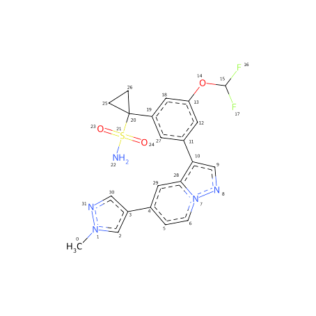 Cn1cc(-c2ccn3ncc(-c4cc(OC(F)F)cc(C5(S(N)(=O)=O)CC5)c4)c3c2)cn1